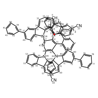 Cc1ccc(-c2ccccc2-c2c(-n3c4ccccc4c4cc(C#N)ccc43)c(-n3c4ccccc4c4cc(-c5ccccc5)ccc43)nc(-n3c4ccccc4c4cc(C#N)ccc43)c2-n2c3ccccc3c3cc(-c4ccccc4)ccc32)c(C)n1